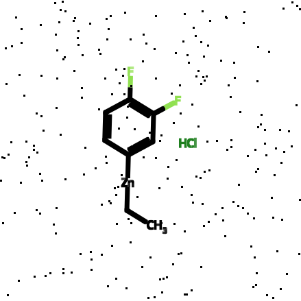 C[CH2][Zn][c]1ccc(F)c(F)c1.Cl